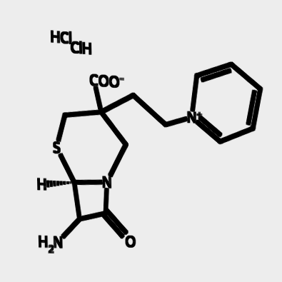 Cl.Cl.NC1C(=O)N2CC(CC[n+]3ccccc3)(C(=O)[O-])CS[C@H]12